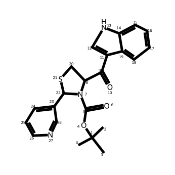 CC(C)(C)OC(=O)N1C(C(=O)c2c[nH]c3ccccc23)CSC1c1cccnc1